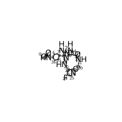 COC(=O)Nc1ccc(C2=C(N)N3NCC4=C3N=C2NCc2cc(F)cnc2OC(C)CNC4=O)cc1